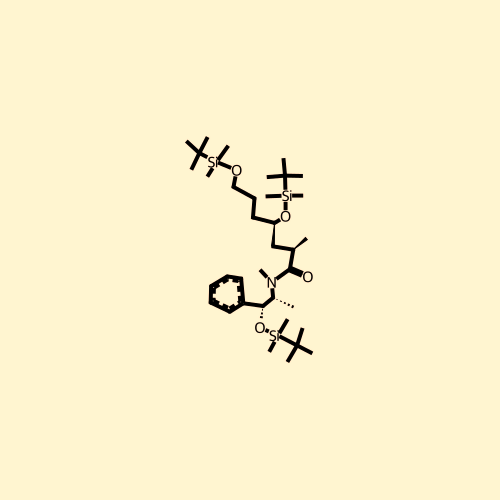 C[C@H](C[C@@H](CCCO[Si](C)(C)C(C)(C)C)O[Si](C)(C)C(C)(C)C)C(=O)N(C)[C@H](C)[C@H](O[Si](C)(C)C(C)(C)C)c1ccccc1